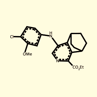 CCOC(=O)c1ncc(Nc2ccc(Cl)c(OC)c2)c2c1C1CCC2CC1